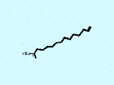 C=CCCCCCCCCCCC[C@@H](C)CCCC